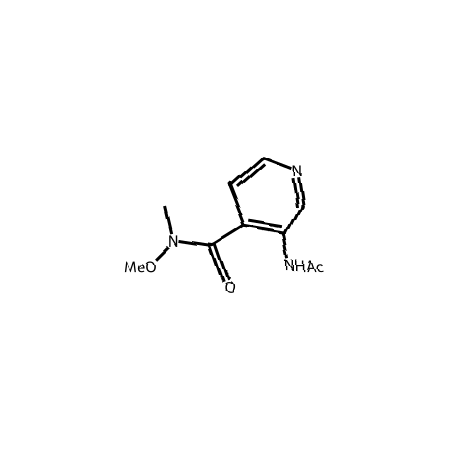 CON(C)C(=O)c1ccncc1NC(C)=O